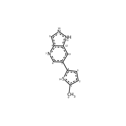 Cc1ccc(-c2cnc3cn[nH]c3c2)s1